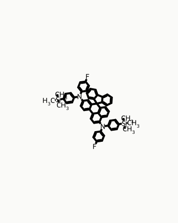 C[Si](C)(C)c1ccc(N(c2ccc(F)cc2)c2ccc3c(c2)C2(c4ccccc4-c4ccccc42)c2cccc4c(N(c5ccc(F)cc5)c5ccc([Si](C)(C)C)cc5)ccc-3c24)cc1